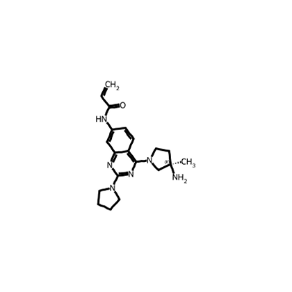 C=CC(=O)Nc1ccc2c(N3CC[C@@](C)(N)C3)nc(N3CCCC3)nc2c1